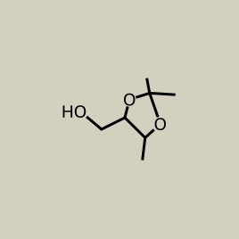 CC1OC(C)(C)OC1CO